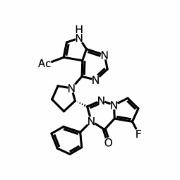 CC(=O)c1c[nH]c2ncnc(N3CCC[C@H]3c3nn4ccc(F)c4c(=O)n3-c3ccccc3)c12